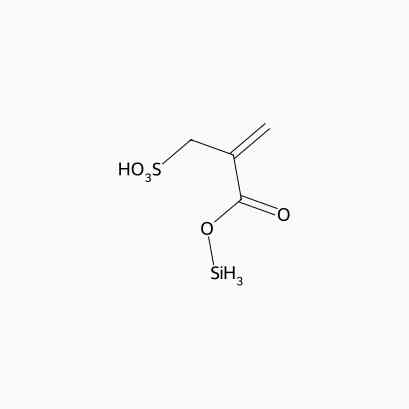 C=C(CS(=O)(=O)O)C(=O)O[SiH3]